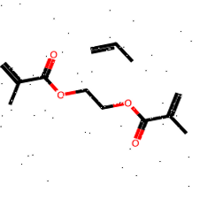 C=C(C)C(=O)OCCOC(=O)C(=C)C.C=CC